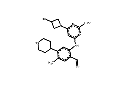 COc1nc(Nc2cc(C3CCNCC3)c(C)cc2C=N)cc(N2CC(O)C2)n1